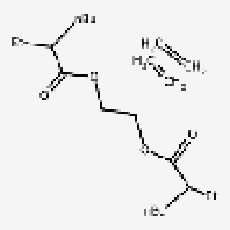 C=C.C=C.CCCCC(CC)C(=O)OCCOC(=O)C(CC)CCCC